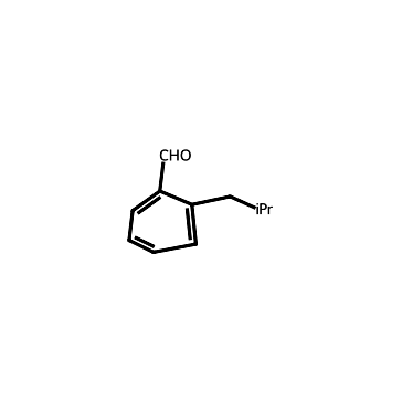 CC(C)Cc1ccccc1C=O